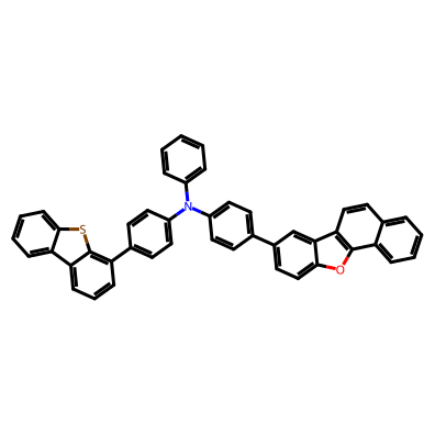 c1ccc(N(c2ccc(-c3ccc4oc5c6ccccc6ccc5c4c3)cc2)c2ccc(-c3cccc4c3sc3ccccc34)cc2)cc1